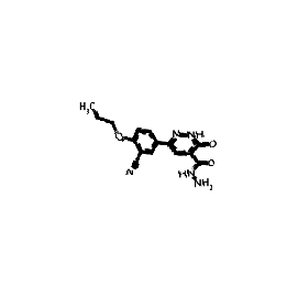 CCCOc1ccc(-c2cc(C(=O)NN)c(=O)[nH]n2)cc1C#N